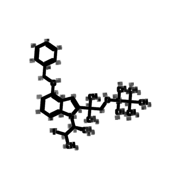 CC(F)[C@H](C)n1c(C(C)(C)CO[Si](C)(C)C(C)(C)C)cc2c(OCc3ccccc3)cccc21